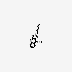 CCCCC/N=N/c1c(O)nc2ccccc2c1O